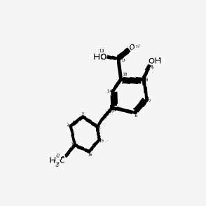 CC1CCC(c2ccc(O)c(C(=O)O)c2)CC1